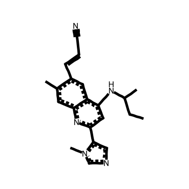 CCC(C)Nc1cc(-c2cncn2C)nc2cc(C)c(/C=C/C#N)cc12